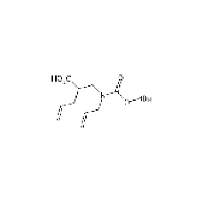 C=CCC(CN(CC=C)C(=O)OC(C)(C)C)C(=O)O